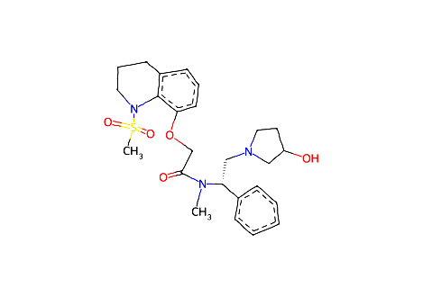 CN(C(=O)COc1cccc2c1N(S(C)(=O)=O)CCC2)[C@H](CN1CCC(O)C1)c1ccccc1